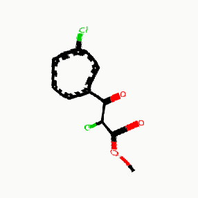 COC(=O)C(Cl)C(=O)c1cccc(Cl)c1